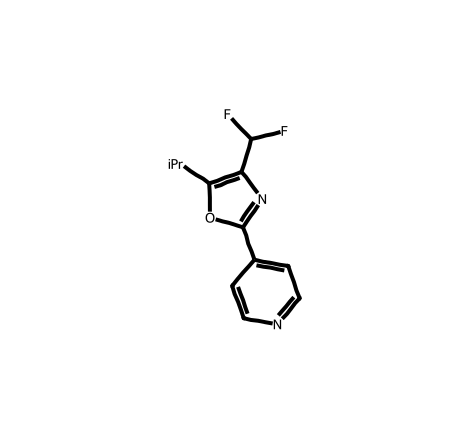 CC(C)c1oc(-c2ccncc2)nc1C(F)F